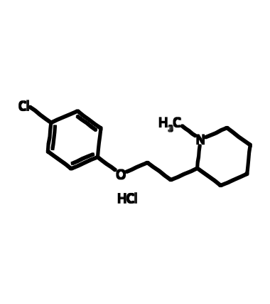 CN1CCCCC1CCOc1ccc(Cl)cc1.Cl